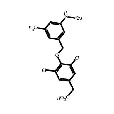 CCC(C)Nc1cc(COc2c(Cl)cc(CC(=O)O)cc2Cl)cc(C(F)(F)F)c1